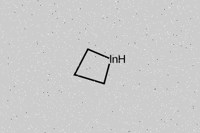 C1[CH2][InH][CH2]1